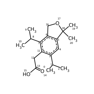 CC(C)c1cc2c(c(C(C)C)c1CC(=O)O)COC2(C)C